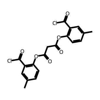 Cc1ccc(OC(=O)CC(=O)Oc2ccc(C)cc2C(=O)Cl)c(C(=O)Cl)c1